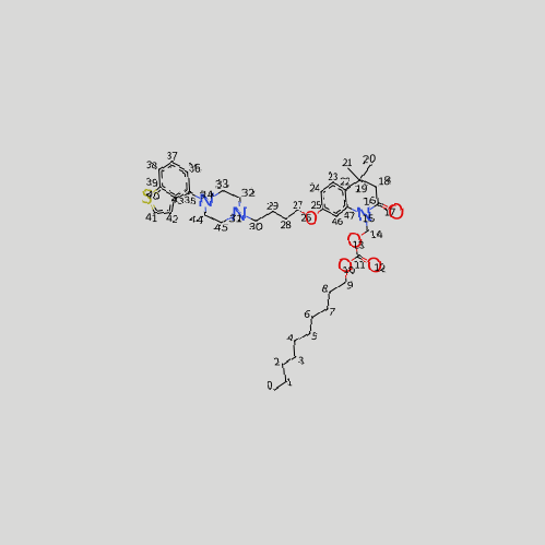 CCCCCCCCCCOC(=O)OCN1C(=O)CC(C)(C)c2ccc(OCCCCN3CCN(c4cccc5sccc45)CC3)cc21